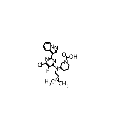 CN(C)CCN(c1nc(-c2cnn3ccccc23)nc(Cl)c1F)[C@@H]1CCCN(C(=O)O)C1